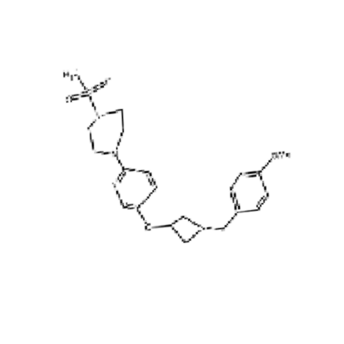 COc1ccc(CN2CC(Oc3ccc(N4CCN(S(C)(=O)=O)CC4)nc3)C2)cc1